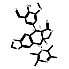 COc1cc([C@@H]2c3cc4c(cc3[C@@H](N3C(C)=C(C)N=C(C)C3C)[C@H]3COC(=O)[C@H]23)OCO4)cc(C=O)c1O